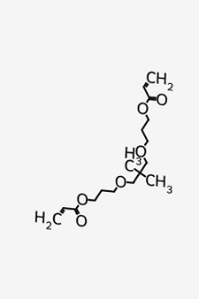 C=CC(=O)OCCCOCC(C)(C)COCCCOC(=O)C=C